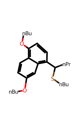 CCCCOc1ccc2c(OCCCC)ccc(C(CCC)SCCCC)c2c1